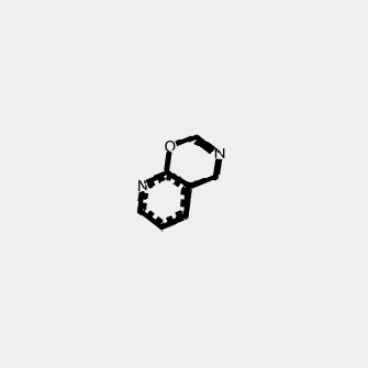 [c]1cnc2c(c1)CN=CO2